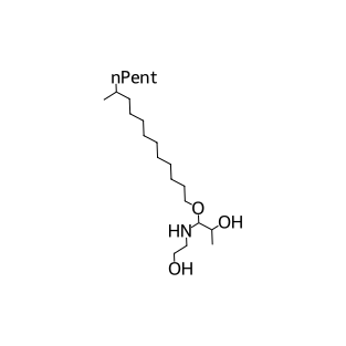 CCCCCC(C)CCCCCCCCCCOC(NCCO)C(C)O